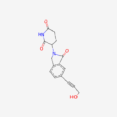 O=C1CCC(N2Cc3ccc(C#CCO)cc3C2=O)C(=O)N1